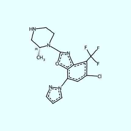 C[C@@H]1CNCCN1c1nc2c(C(F)(F)F)c(Cl)cc(-n3cccn3)c2o1